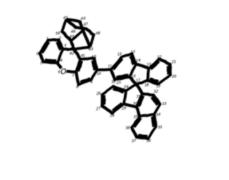 c1ccc2c(c1)Oc1ccc(-c3ccc4c(c3)C3(c5ccccc5-4)c4ccccc4-c4c3ccc3ccccc43)cc1C21C2CC3CC(C2)C1C3